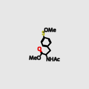 COSc1ccc(CC(NC(C)=O)C(=O)OC)cc1